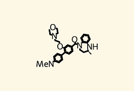 CNc1ccc(-c2ccc(C(=O)N3CC[C@H](C)Nc4ccccc43)cc2OCCN2CCOCC2)cc1